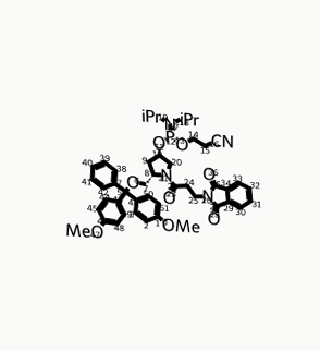 COc1ccc(C(OC[C@@H]2C[C@@H](OP(OCCC#N)N(C(C)C)C(C)C)CN2C(=O)CCN2C(=O)c3ccccc3C2=O)(c2ccccc2)c2ccc(OC)cc2)cc1